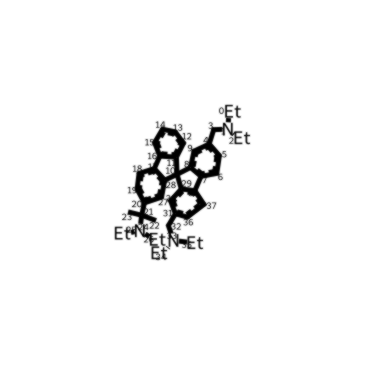 CCN(CC)Cc1ccc2c(c1)C1(c3ccccc3-c3ccc(C(C)(C)N(CC)CC)cc31)c1cc(CN(CC)CC)ccc1-2